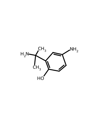 CC(C)(N)c1cc(N)ccc1O